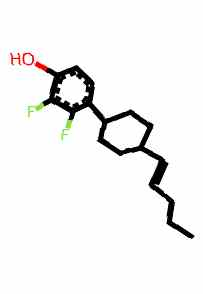 CCC/C=C/C1CCC(c2ccc(O)c(F)c2F)CC1